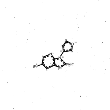 CC(C)c1cnc2c(c1)nc(C(C)C)n2-c1ccoc1